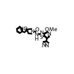 COc1ncc(-c2cnn(C)c2)c2sc(NC(=O)N3CCC(O)(Cc4ccccc4)CC3)nc12